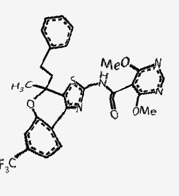 COc1ncnc(OC)c1C(=O)Nc1nc2c(s1)C(C)(CCc1ccccc1)Oc1cc(C(F)(F)F)ccc1-2